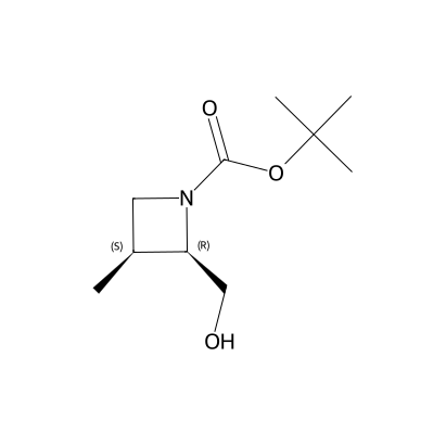 C[C@H]1CN(C(=O)OC(C)(C)C)[C@H]1CO